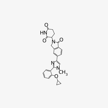 Cn1cc(-c2ccc3c(c2)CN(C2CCC(=O)NC2=O)C3=O)nc1-c1ccccc1OC1CC1